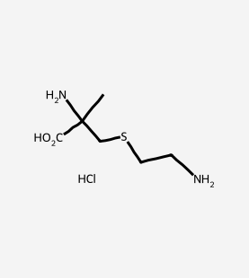 CC(N)(CSCCN)C(=O)O.Cl